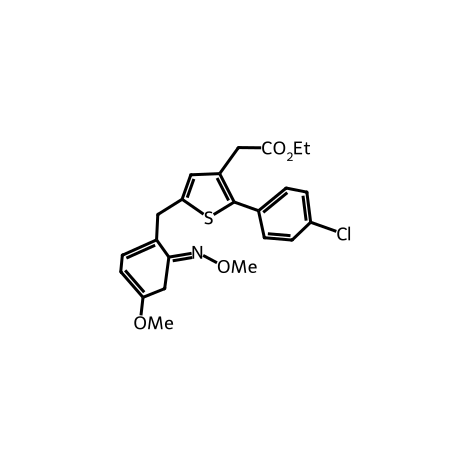 CCOC(=O)Cc1cc(CC2=CC=C(OC)CC2=NOC)sc1-c1ccc(Cl)cc1